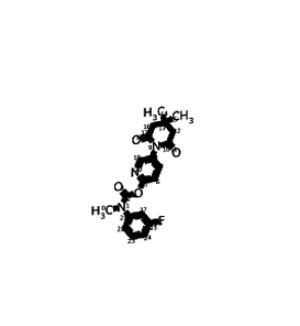 CN(C(=O)Oc1ccc(N2C(=O)CC(C)(C)CC2=O)cn1)c1cccc(F)c1